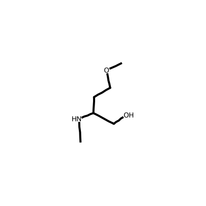 CNC(CO)CCOC